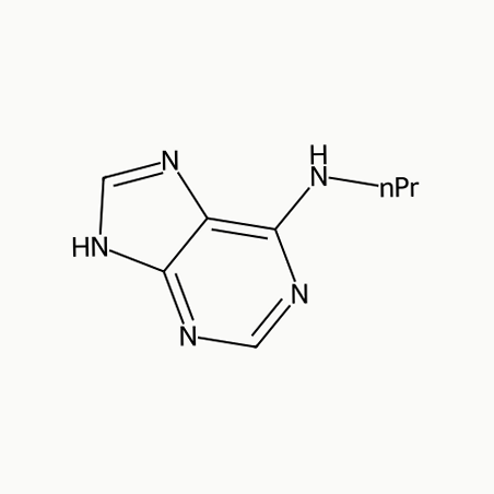 C[CH]CNc1ncnc2[nH]cnc12